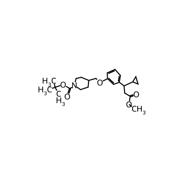 COC(=O)CC(c1cccc(OCC2CCN(C(=O)OC(C)(C)C)CC2)c1)C1CC1